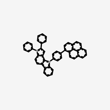 c1ccc(-c2cc3c(ccc4c5ccccc5n(-c5ccc(-c6ccc7ccc8cccc9ccc6c7c89)cc5)c43)n2-c2ccccc2)cc1